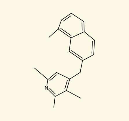 Cc1cc(Cc2ccc3cccc(C)c3c2)c(C)c(C)n1